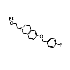 CCOCCN1CCc2cc(OCc3ccc(F)cc3)ccc2C1